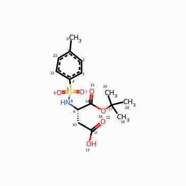 Cc1ccc(S(=O)(=O)N[C@@H](CC(=O)O)C(=O)OC(C)(C)C)cc1